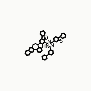 c1ccc(-c2cccc(C3N=C(c4ccc5c(c4)sc4ccccc45)N=C(c4cc(C5CCc6cc7ccccc7cc6-c6ccccc65)cc5c4oc4ccccc45)N3)c2)cc1